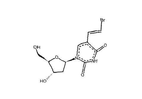 O=c1[nH]c(=O)n([C@H]2C[C@H](O)[C@@H](CO)O2)cc1/C=C/Br